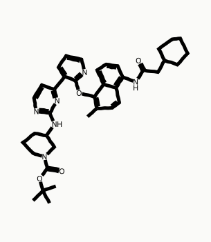 Cc1ccc2c(NC(=O)CC3CCCCC3)cccc2c1Oc1ncccc1-c1ccnc(NC2CCCN(C(=O)OC(C)(C)C)C2)n1